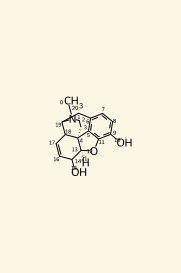 CN1CC[C@]23c4c5ccc(O)c4O[C@H]2C(O)C=CC3C1C5